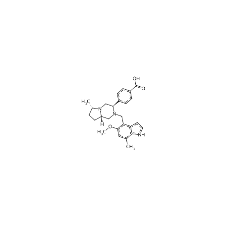 COc1cc(C)c2[nH]ccc2c1CN1C[C@@H]2CC[C@H](C)N2C[C@H]1c1ccc(C(=O)O)cc1